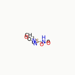 COc1ccc(-c2ccnc(SCCC(=O)NCc3ccco3)n2)cc1